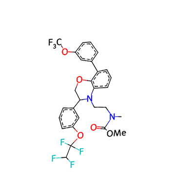 COC(=O)N(C)CCN1c2cccc(-c3cccc(OC(F)(F)F)c3)c2OCC1c1cccc(OC(F)(F)C(F)F)c1